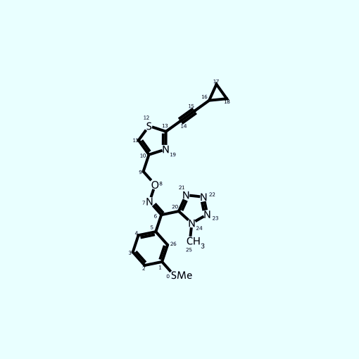 CSc1cccc(/C(=N/OCc2csc(C#CC3CC3)n2)c2nnnn2C)c1